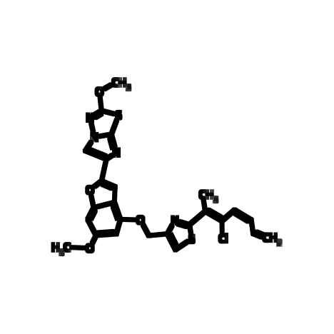 C=C/C=C\C(Cl)=C(/C)c1nc(COc2cc(OC)cc3oc(-c4cn5nc(OC)sc5n4)cc23)cs1